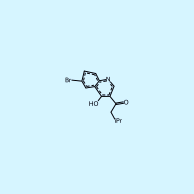 CC(C)CC(=O)c1cnc2ccc(Br)cc2c1O